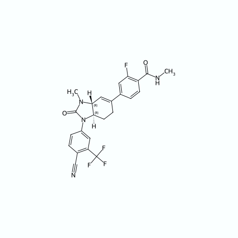 CNC(=O)c1ccc(C2=C[C@@H]3[C@@H](CC2)N(c2ccc(C#N)c(C(F)(F)F)c2)C(=O)N3C)cc1F